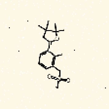 Cc1c(CS(C)(=O)=O)cccc1B1CC(C)(C)C(C)(C)O1